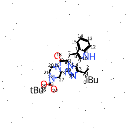 CCC(C)[C@H](C)c1cn([C@@H](Cc2c[nH]c3ccccc23)C(=O)N2CCN(C(=O)OC(C)(C)C)CC2)nn1